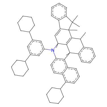 CC1C2=C3C(C)(c4ccccc41)c1c(ccc4c(C5CCCCC5)cccc14)N(c1cc(C4CCCCC4)cc(C4CCCCC4)c1)C3(C)C=C1c3ccccc3C(C)(C)C12C